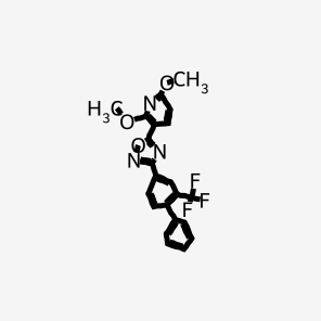 COc1ccc(-c2nc(-c3ccc(-c4ccccc4)c(C(F)(F)F)c3)no2)c(OC)n1